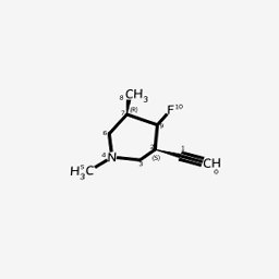 C#C[C@H]1CN(C)C[C@@H](C)C1F